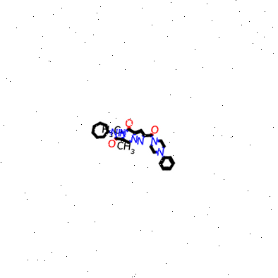 CN1C(=O)c2cc(C(=O)N3CCN(c4ccccc4)CC3)nn2CC1(C)C(=O)NC1CCCCCC1